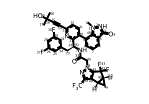 Cn1[nH]c(=O)c2cccc(-c3ccc(C#CC(C)(C)O)nc3[C@H](Cc3cc(F)cc(F)c3)NC(=O)Cn3nc(C(F)(F)F)c4c3C(F)(F)[C@@H]3C[C@H]43)c21